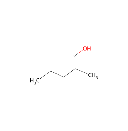 CCCC(C)[CH]O